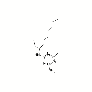 CCCCCCCC(CC)Nc1nc(C)nc(N)n1